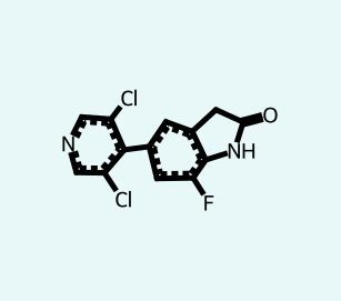 O=C1Cc2cc(-c3c(Cl)cncc3Cl)cc(F)c2N1